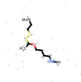 CNCCSSC(C)OCCCCNC(C)C